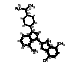 Cc1ccc(Cl)c2cc(-c3nn(C4CCN(C(C)C)CC4)c4ncnc(N)c34)[nH]c12